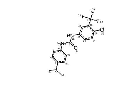 CC(C)c1ccc(NC(=O)Nc2ccc(Cl)c(C(F)(F)F)c2)cc1